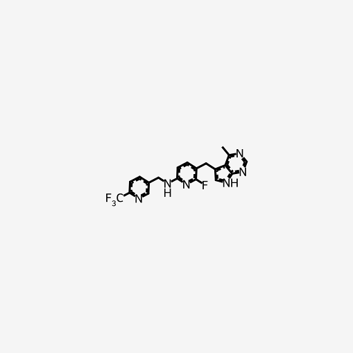 Cc1ncnc2[nH]cc(Cc3ccc(NCc4ccc(C(F)(F)F)nc4)nc3F)c12